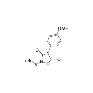 CCCCSn1oc(=O)n(-c2ccc(OC)cc2)c1=O